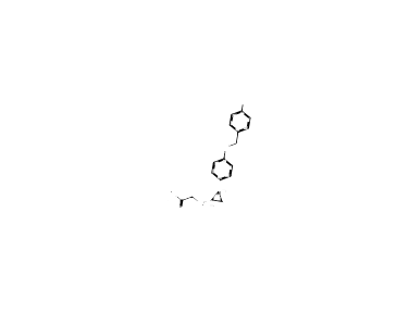 Cl.NC(=O)CN[C@@H]1C[C@H]1c1ccc(OCc2ccc(F)cc2)cc1